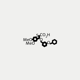 COc1cc2sc(C(=O)O)c(OCc3cccc(OCC4CCCCC4)c3)c2cc1OC